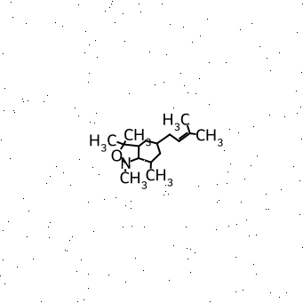 CC(C)=CCC1CC(C)C2C(C1)C(C)(C)ON2C